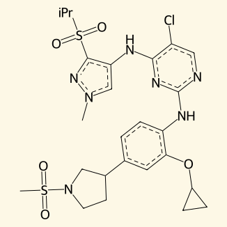 CC(C)S(=O)(=O)c1nn(C)cc1Nc1nc(Nc2ccc(C3CCN(S(C)(=O)=O)C3)cc2OC2CC2)ncc1Cl